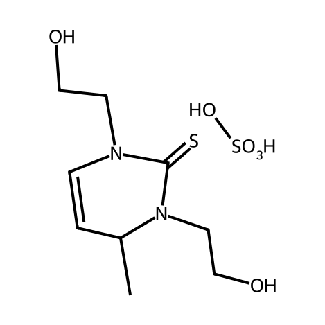 CC1C=CN(CCO)C(=S)N1CCO.O=S(=O)(O)O